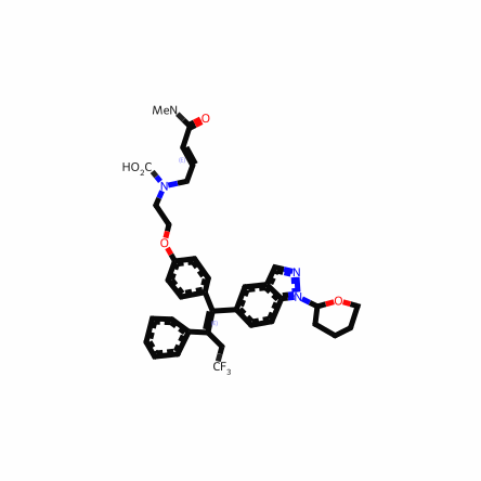 CNC(=O)/C=C/CN(CCOc1ccc(/C(=C(/CC(F)(F)F)c2ccccc2)c2ccc3c(cnn3C3CCCCO3)c2)cc1)C(=O)O